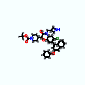 CC(C)(C)OC(=O)N1CCC(C2Oc3cc(-c4cc(Oc5ccccc5)cc5ccccc45)c(Cl)cc3N(CC3CNC3)C2=O)CC1